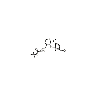 COc1ccc(C=O)c(C)c1OC1CCCC=C1CCNC(=O)OC(C)(C)C